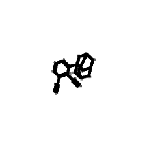 C#Cc1cccc(C23CC4CC(CC(C4)C2)C3)c1C#C